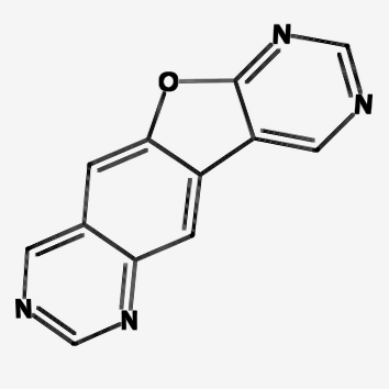 c1ncc2cc3oc4ncncc4c3cc2n1